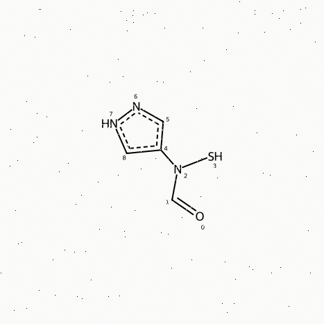 O=CN(S)c1cn[nH]c1